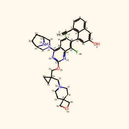 C#Cc1cccc2cc(O)cc(-c3c(F)cc4c(N5CC6CCC(C5)N6)nc(OCC5(CN6CCC7(CC6)COC7)CC5)nc4c3F)c12